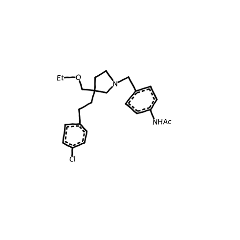 CCOCC1(CCc2ccc(Cl)cc2)CCN(Cc2ccc(NC(C)=O)cc2)C1